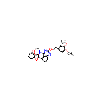 COc1ccc(CCOc2nc(N3CCOCC3)c3c(-c4cc5ccccc5o4)cccc3n2)cc1OC